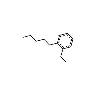 CCCCCc1[c]cccc1CC